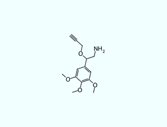 C#CCOC(CN)c1cc(OC)c(OC)c(OC)c1